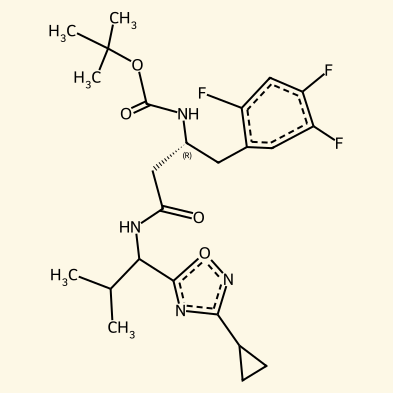 CC(C)C(NC(=O)C[C@@H](Cc1cc(F)c(F)cc1F)NC(=O)OC(C)(C)C)c1nc(C2CC2)no1